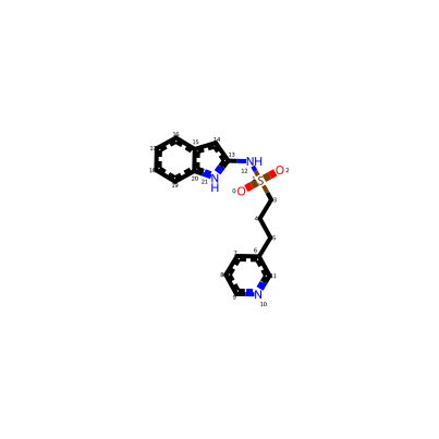 O=S(=O)(CCCc1cccnc1)Nc1cc2ccccc2[nH]1